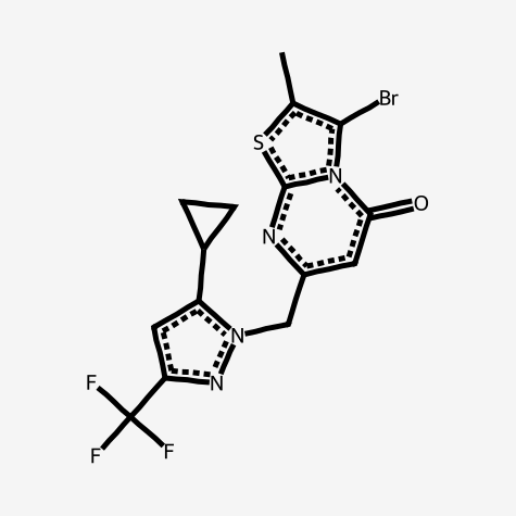 Cc1sc2nc(Cn3nc(C(F)(F)F)cc3C3CC3)cc(=O)n2c1Br